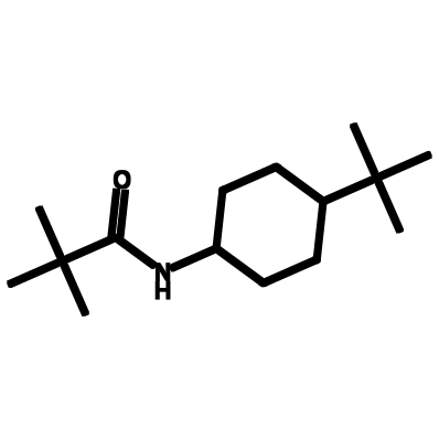 CC(C)(C)C(=O)NC1CCC(C(C)(C)C)CC1